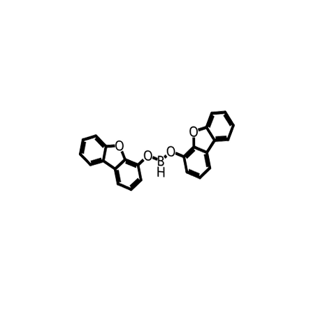 B(Oc1cccc2c1oc1ccccc12)Oc1cccc2c1oc1ccccc12